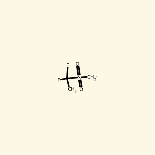 [CH2]S(=O)(=O)C(C)(F)F